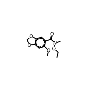 CCON(C)C(=O)c1cc2c(cc1OC)OCO2